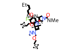 C=NN(COCC[Si](C)(C)C)C1=CC(C)(N(COCC[Si](C)(C)C)C2=C(NC)CN(C(=O)NC)C2)[C@@]1(C)c1cc(F)c(O/C=C\C=C/CC)cc1CC